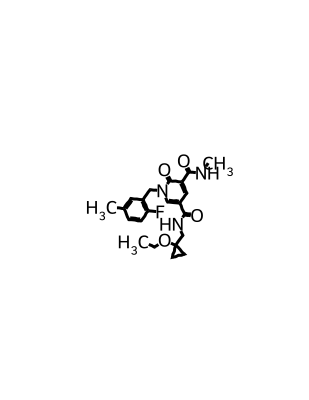 CCOC1(CNC(=O)c2cc(C(=O)NC)c(=O)n(Cc3cc(C)ccc3F)c2)CC1